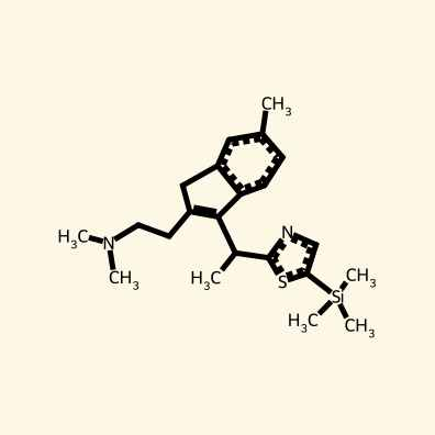 Cc1ccc2c(c1)CC(CCN(C)C)=C2C(C)c1ncc([Si](C)(C)C)s1